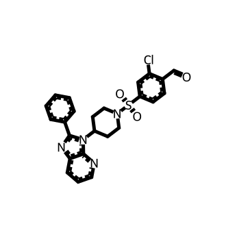 O=Cc1ccc(S(=O)(=O)N2CCC(n3c(-c4ccccc4)nc4cccnc43)CC2)cc1Cl